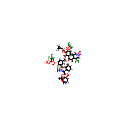 O=C(O)C(F)(F)F.O=C(OC(Cc1c(Cl)c[n+]([O-])cc1Cl)c1ccc(OC(F)F)c(OCC2CC2)c1)c1cccc(S(=O)(=O)NC(C(=O)O[C@H]2CN3CCC2CC3)c2ccccc2)c1